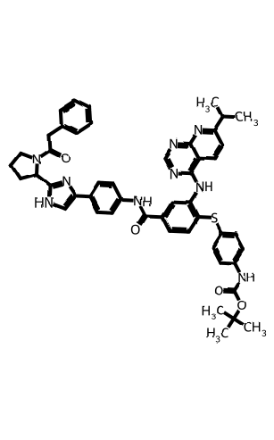 CC(C)c1ccc2c(Nc3cc(C(=O)Nc4ccc(-c5c[nH]c(C6CCCN6C(=O)Cc6ccccc6)n5)cc4)ccc3Sc3ccc(NC(=O)OC(C)(C)C)cc3)ncnc2n1